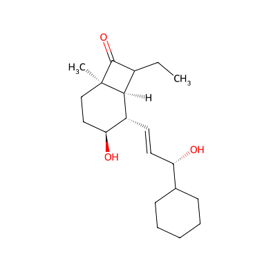 CCC1C(=O)[C@]2(C)CC[C@H](O)[C@@H](/C=C/[C@H](O)C3CCCCC3)[C@H]12